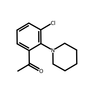 CC(=O)c1cccc(Cl)c1N1CCCCC1